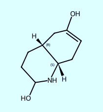 OC1=CC[C@@H]2NC(O)CC[C@@H]2C1